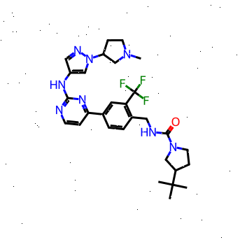 CN1CCC(n2cc(Nc3nccc(-c4ccc(CNC(=O)N5CCC(C(C)(C)C)C5)c(C(F)(F)F)c4)n3)cn2)C1